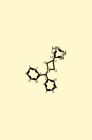 c1ccc(C(c2ccccc2)N2CC(c3c[nH]nn3)C2)cc1